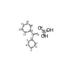 C=C(c1ccccc1)c1ccccc1.O=S(O)O